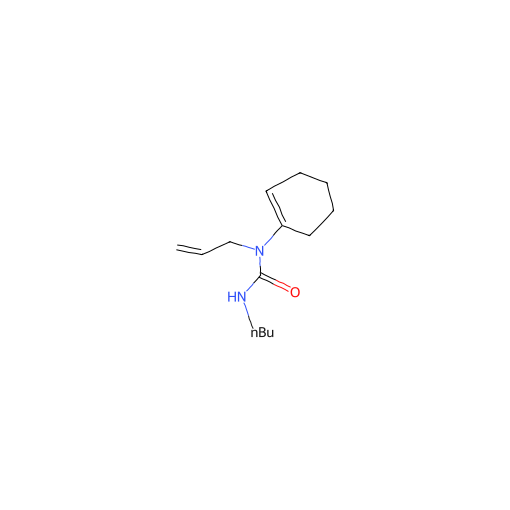 C=CCN(C(=O)NCCCC)C1=CCCCC1